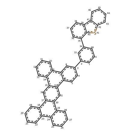 c1cc(-c2ccc3c(c2)c2ccccc2c2cc4c5ccccc5c5ccccc5c4cc32)cc(-c2cccc3c2sc2ccccc23)c1